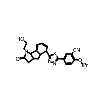 CC(C)Oc1ccc(-c2nnc(C3C=CC=C4C3CC3CC(=O)N(CCO)C43)s2)cc1C#N